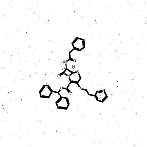 O=C(Cc1ccccc1)N[C@@H]1C(=O)N2C(C(=O)OC(c3ccccc3)c3ccccc3)=C(SCCc3cccnc3)CS[C@H]12